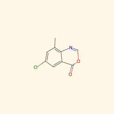 Cc1cc(Cl)cc2c(=O)ocnc12